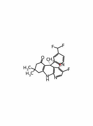 CC1(C)CC(=O)C2=C(C1)Nc1ncc(F)c(C#N)c1[C@]2(C)c1cccc(C(F)F)c1